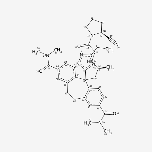 CCc1nnc(C2(C[C@H](C)NCC(=O)N3CCC[C@H]3C#N)c3ccc(C(=O)N(C)C)cc3CCc3cc(C(=O)N(C)C)ccc32)o1